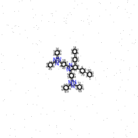 c1ccc(-c2ccc(-c3cc(-c4ccc(-c5ccccc5)cc4)c4nc(-c5ccc(-c6nc(-c7ccccc7)nc(-c7ccccc7)n6)cc5)nc(-c5ccc(-c6nc(-c7ccccc7)nc(-c7ccccc7)n6)cc5)c4c3)cc2)cc1